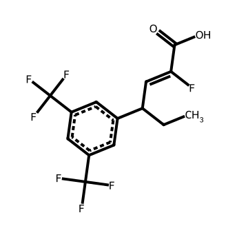 CCC(C=C(F)C(=O)O)c1cc(C(F)(F)F)cc(C(F)(F)F)c1